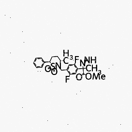 COC(=O)C(C)(N=N)c1cc(F)c(CN2[C@@H](C)CC[C@H](c3ccccc3)S2(=O)=O)cc1F